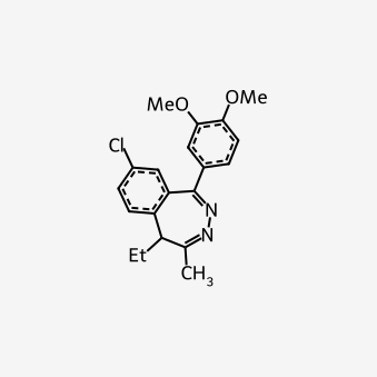 CCC1C(C)=NN=C(c2ccc(OC)c(OC)c2)c2cc(Cl)ccc21